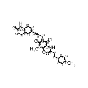 Cc1ccc(CCC(=O)Nc2c(Cl)n(CC#Cc3ccc4c(c3)CCC(=O)N4)c(=O)n(C)c2=O)cc1